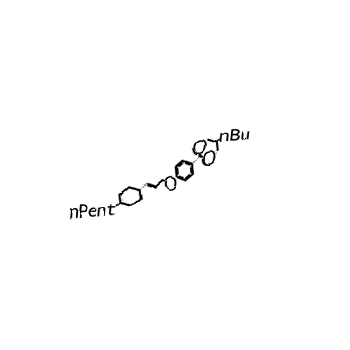 CCCCC[C@H]1CC[C@H](/C=C/COc2ccc([C@H]3OC[C@H](CCCC)CO3)cc2)CC1